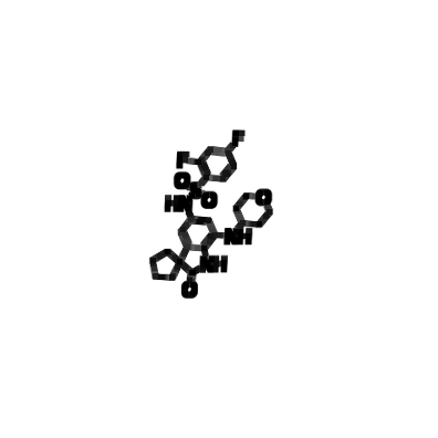 O=C1Nc2c(NC3CCOCC3)cc(NS(=O)(=O)c3ccc(F)cc3F)cc2C12CCCC2